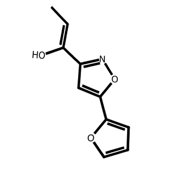 CC=C(O)c1cc(-c2ccco2)on1